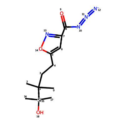 CC(C)(CCc1cc(C(=O)N=[N+]=[N-])no1)[Si](C)(C)O